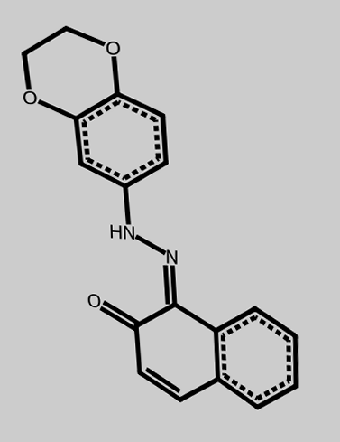 O=C1C=Cc2ccccc2/C1=N/Nc1ccc2c(c1)OCCO2